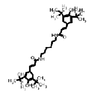 CC(C)(C)C1=CC(C=CC(=O)NCCCCCCNC(=O)C=CC2C=C(C(C)(C)C)C(O)=C(C(C)(C)C)C2)CC(C(C)(C)C)=C1O